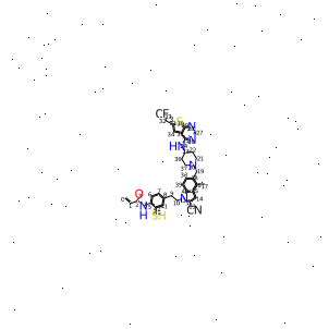 C=CC(=O)Nc1ccc(CCn2c(C#N)cc3c(C)c(CN4CCC(Nc5ncnc6sc(CC(F)(F)F)cc56)CC4)ccc32)cc1S